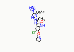 COc1nc(N[C@@H](C)c2cc3cc(Cl)c(OCc4ccccn4)cc3[nH]c2=O)ncc1-n1cnnn1